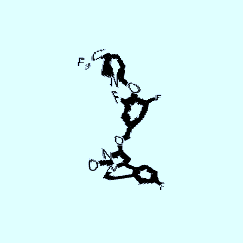 O=c1nc(OCc2cc(F)c(Oc3ccc(C(F)(F)F)cn3)c(F)c2)cc2n1CCc1cc(F)ccc1-2